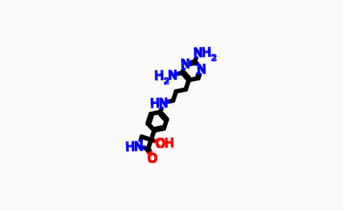 Nc1ncc(CCCNc2ccc(C3(O)CNC3=O)cc2)c(N)n1